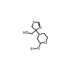 CCOC1CC(C2(CO)CSC=N2)CCO1